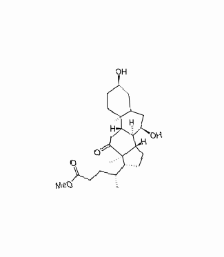 COC(=O)CC[C@@H](C)[C@H]1CC[C@H]2[C@@H]3[C@H](O)CC4C[C@H](O)CC[C@]4(C)[C@H]3CC(=O)[C@]12C